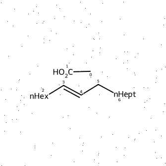 CC(=O)O.CCCCCCC=CCCCCCCCC